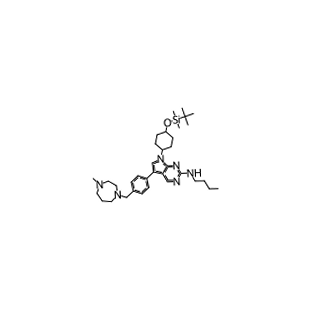 CCCCNc1ncc2c(-c3ccc(CN4CCCN(C)CC4)cc3)cn(C3CCC(O[Si](C)(C)C(C)(C)C)CC3)c2n1